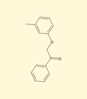 Cc1cccc(OCC(=O)c2ccccc2)c1